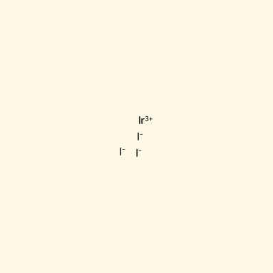 [I-].[I-].[I-].[Ir+3]